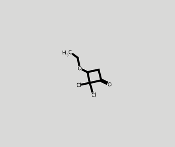 CCOC1CC(=O)C1(Cl)Cl